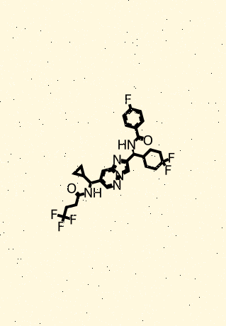 O=C(CCC(F)(F)F)NC(c1cnn2cc([C@@H](NC(=O)c3ccc(F)cc3)C3CCC(F)(F)CC3)nc2c1)C1CC1